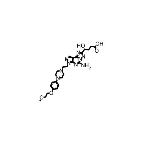 COCCOc1ccc(N2CCN(CCn3ncc4c3nc(N)n3nc([C@H](O)CCC(=O)O)nc43)CC2)cc1